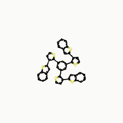 c1ccc2sc(-c3ccsc3-c3cc(-c4sccc4-c4cc5ccccc5s4)cc(-c4sccc4-c4cc5ccccc5s4)c3)cc2c1